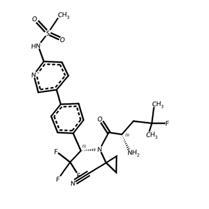 CC(C)(F)C[C@H](N)C(=O)N([C@@H](c1ccc(-c2ccc(NS(C)(=O)=O)nc2)cc1)C(F)(F)F)C1(C#N)CC1